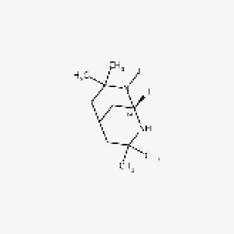 CC1(C)CC2C[C@@H](N1)N(I)C(C)(C)C2